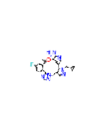 C[C@H]1Oc2cc(cnc2N)-c2c(cnn2CC2CC2)Cn2ncnc2-c2ccc(F)cc21